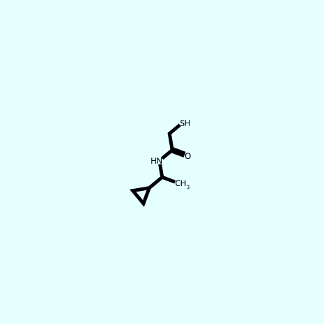 CC(NC(=O)CS)C1CC1